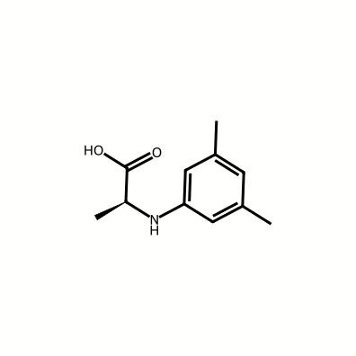 Cc1cc(C)cc(N[C@@H](C)C(=O)O)c1